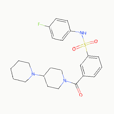 O=C(c1cccc(S(=O)(=O)Nc2ccc(F)cc2)c1)N1CCC(N2CCCCC2)CC1